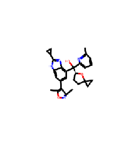 Cc1cccc(C(O)(c2cc(-c3c(C)noc3C)cc3[nH]c(C4CC4)nc23)[C@@H]2CCC3(CC3)O2)n1